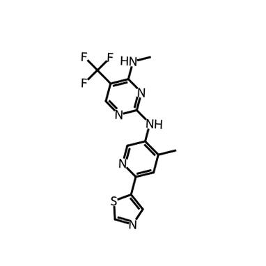 CNc1nc(Nc2cnc(-c3cncs3)cc2C)ncc1C(F)(F)F